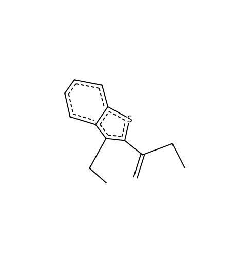 C=C(CC)c1sc2ccccc2c1CC